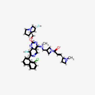 CN(CC1CN(C(=O)/C=C/[C@@H]2CCN2C)C1)c1nc(OC[C@@]23CCCN2C[C@H](F)C3)nc2c(F)c(-c3cccc4cccc(Cl)c34)ncc12